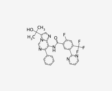 CC(C)(O)c1cnc2c(NC(=O)c3cc(-c4ncccn4)c(C(F)(F)F)cc3F)c(-c3ccccc3)ncn12